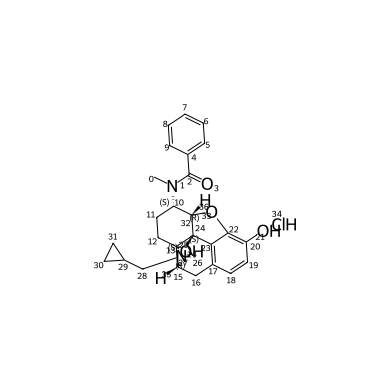 CN(C(=O)c1ccccc1)[C@H]1CC[C@@]2(O)[C@H]3Cc4ccc(O)c5c4[C@@]2(CCN3CC2CC2)[C@H]1O5.Cl